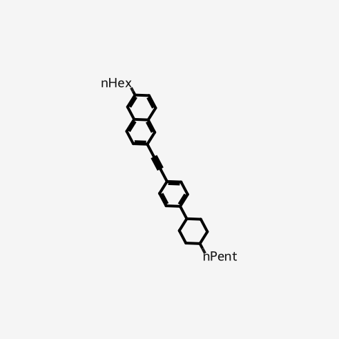 CCCCCCc1ccc2cc(C#Cc3ccc(C4CCC(CCCCC)CC4)cc3)ccc2c1